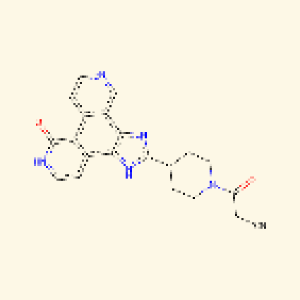 N#CCC(=O)N1CCC(c2nc3c4cnccc4c4c(=O)[nH]ccc4c3[nH]2)CC1